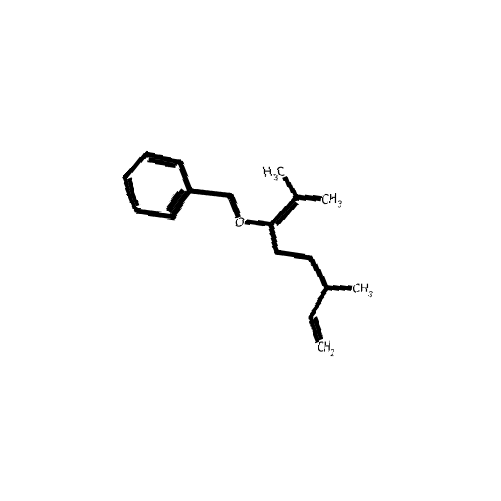 C=CC(C)CCC(OCc1ccccc1)=C(C)C